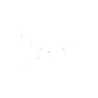 CCOC(=O)OC(=O)C(C)(CSC(C)(C)C)C(=O)OCC